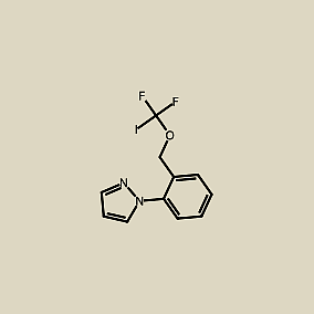 FC(F)(I)OCc1ccccc1-n1cccn1